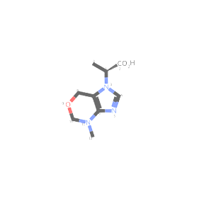 C[C@@H](C(=O)O)n1cnc2c1COCN2C